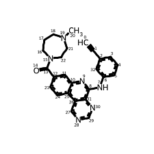 C#Cc1cccc(Nc2nc3cc(C(=O)N4CCCN(C)CC4)ccc3c3cncnc23)c1